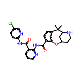 CC1(C)c2ccc(C(=O)Nc3ncccc3C(=O)Nc3ccc(Cl)cn3)c(c2)OC2CCNC1C2